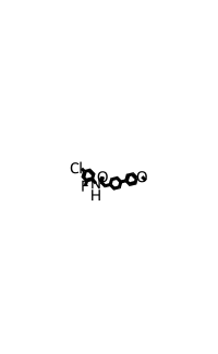 COc1ccc(C2CCC(CC(=O)Nc3ccc(Cl)cc3F)CC2)cc1